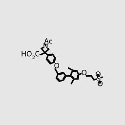 CC(=O)N1CC(CC(=O)O)(c2ccc(OCc3cccc(-c4c(C)cc(OCCCS(C)(=O)=O)cc4C)c3)cc2)C1